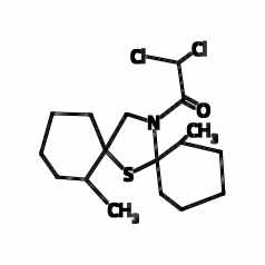 CC1CCCCC12CN(C(=O)C(Cl)Cl)C1(CCCCC1C)S2